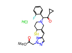 COC(=O)Cn1ncc(C=C2CN(C(C(=O)C3CC3)c3ccccc3F)CCC2S)n1.Cl